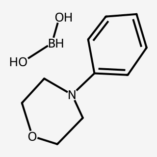 OBO.c1ccc(N2CCOCC2)cc1